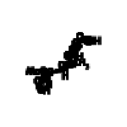 COc1cc2c(cc1OCCCC(=O)Nc1cc(C(=O)Nc3ccc4oc(C(=O)N5CCNCC5)cc4c3)n(C)c1)N=C[C@@H]1CCCN1C2=O